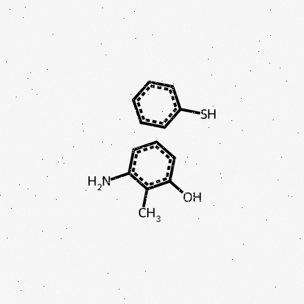 Cc1c(N)cccc1O.Sc1ccccc1